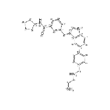 NCCNCc1ccc(-c2ccc3ncn(Cc4cccc(C(=O)NC5CCCC5)c4)c3c2)cc1